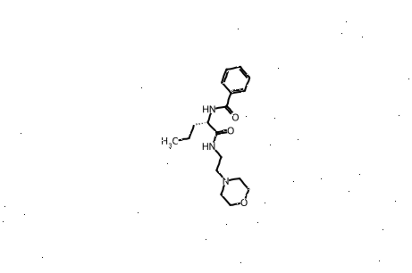 CCC[C@H](NC(=O)c1ccccc1)C(=O)NCCN1CCOCC1